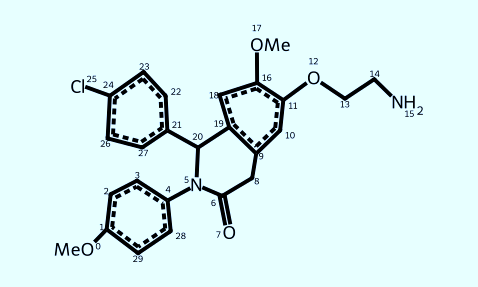 COc1ccc(N2C(=O)Cc3cc(OCCN)c(OC)cc3C2c2ccc(Cl)cc2)cc1